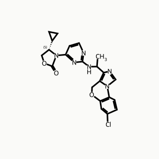 CC(Nc1nccc(N2C(=O)OC[C@@H]2C2CC2)n1)c1ncn2c1COc1cc(Cl)ccc1-2